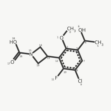 COc1c(C(C)O)cc(Cl)c(F)c1C1CN(C(=O)O)C1